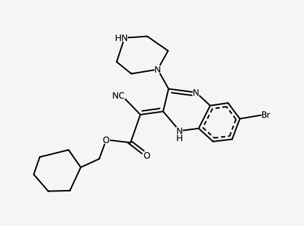 N#C/C(C(=O)OCC1CCCCC1)=C1/Nc2ccc(Br)cc2N=C1N1CCNCC1